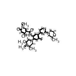 C[C@@H]1CN(c2nccc(-c3cc(NC(=O)c4cn(C)c(=O)cc4C(F)(F)F)c(N4C[C@@H](C)N(C)[C@@H](C)C4)cc3F)n2)CCO1